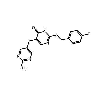 Cc1ncc(Cc2cnc(SCc3ccc(F)cc3)[nH]c2=O)cn1